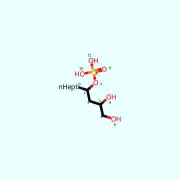 CCCCCCCC(CC(O)CO)OP(=O)(O)O